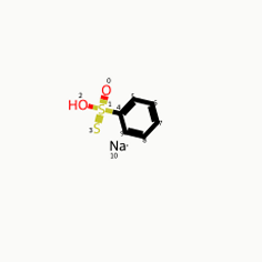 O=S(O)(=S)c1ccccc1.[Na]